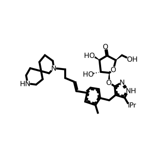 Cc1cc(/C=C/CCN2CCCC3(CCNCC3)C2)ccc1Cc1c(O[C@@H]2O[C@H](CO)C(=O)[C@H](O)[C@H]2O)n[nH]c1C(C)C